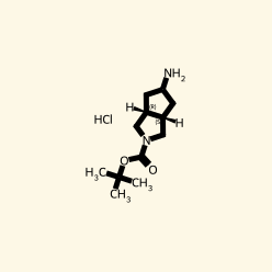 CC(C)(C)OC(=O)N1C[C@H]2CC(N)C[C@H]2C1.Cl